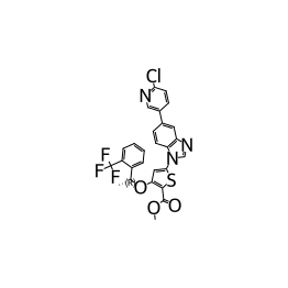 COC(=O)c1sc(-n2cnc3cc(-c4ccc(Cl)nc4)ccc32)cc1O[C@H](C)c1ccccc1C(F)(F)F